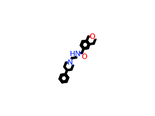 O=C(NCCN1CCC(c2ccccc2)CC1)c1ccc2c(c1)CCOC2